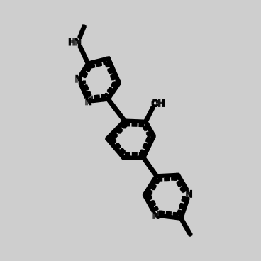 CNc1ccc(-c2ccc(-c3cnc(C)nc3)cc2O)nn1